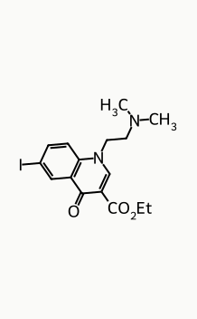 CCOC(=O)c1cn(CCN(C)C)c2ccc(I)cc2c1=O